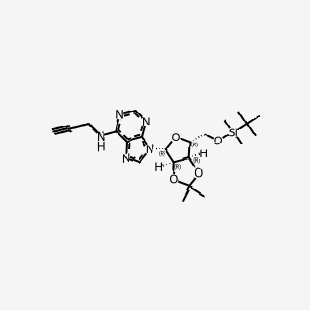 C#CCNc1ncnc2c1ncn2[C@@H]1O[C@H](CO[Si](C)(C)C(C)(C)C)[C@H]2OC(C)(C)O[C@H]21